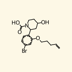 C=CCCCOc1cc(Br)ccc1C1CC(O)CCN1C(=O)O